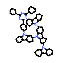 c1ccc(-c2nc(-c3ccccc3)nc(-c3ccc(-n4c5ccccc5c5ccc(-n6c7cc(-n8c9ccccc9c9ccccc98)ccc7c7ccc(-n8c9ccccc9c9ccccc98)cc76)cc54)cc3)n2)cc1